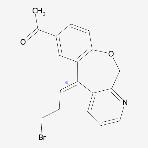 CC(=O)c1ccc2c(c1)/C(=C/CCBr)c1cccnc1CO2